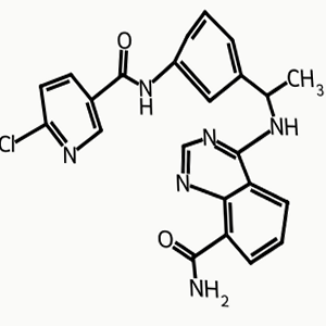 CC(Nc1ncnc2c(C(N)=O)cccc12)c1cccc(NC(=O)c2ccc(Cl)nc2)c1